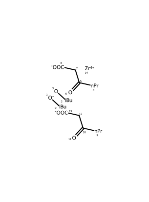 CCC(C)[O-].CCC(C)[O-].CCCC(=O)CC(=O)[O-].CCCC(=O)CC(=O)[O-].[Zr+4]